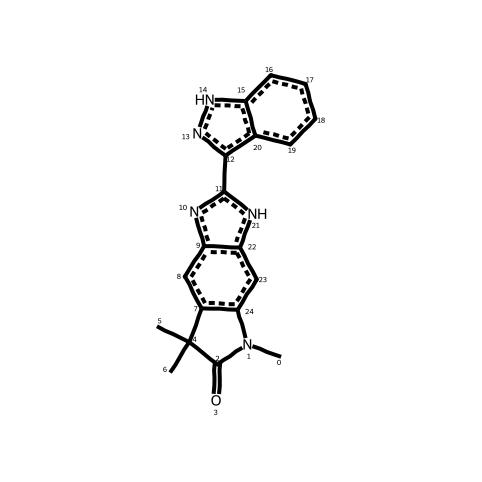 CN1C(=O)C(C)(C)c2cc3nc(-c4n[nH]c5ccccc45)[nH]c3cc21